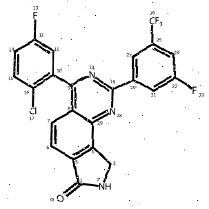 O=C1NCc2c1ccc1c(-c3cc(F)ccc3Cl)nc(-c3cc(F)cc(C(F)(F)F)c3)nc21